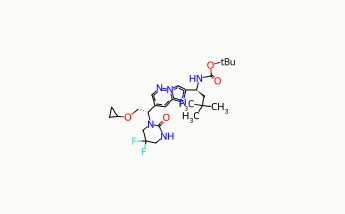 CC(C)(C)OC(=O)N[C@@H](CC(C)(C)C(F)(F)F)c1cn2ncc([C@@H](COC3CC3)N3CC(F)(F)CNC3=O)cc2n1